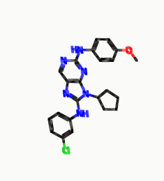 COc1ccc(Nc2ncc3nc(Nc4cccc(Cl)c4)n(C4CCCC4)c3n2)cc1